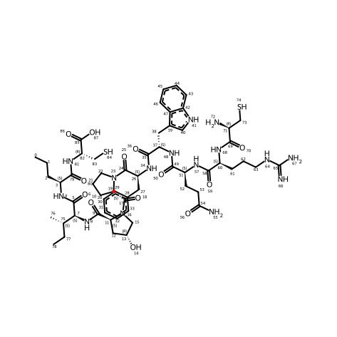 CCC[C@H](NC(=O)[C@@H](NC(=O)[C@@H]1C[C@@H](O)CN1C(=O)[C@@H]1CCCN1C(=O)[C@H](Cc1ccccc1)NC(=O)[C@H](Cc1c[nH]c2ccccc12)NC(=O)[C@H](CCC(N)=O)NC(=O)[C@H](CCCNC(=N)N)NC(=O)[C@@H](N)CS)[C@@H](C)CC)C(=O)N[C@@H](CS)C(=O)O